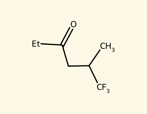 CCC(=O)CC(C)C(F)(F)F